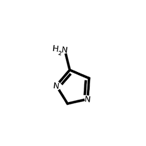 NC1=NCN=C1